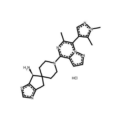 Cc1nc(N2CCC3(CC2)Cc2ncsc2[C@H]3N)c2ccnn2c1-c1cnn(C)c1C.Cl